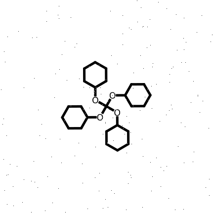 C1CCC(OC(OC2CCCCC2)(OC2CCCCC2)OC2CCCCC2)CC1